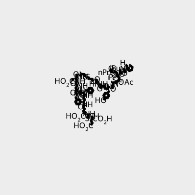 CCCC(=O)OCN(C(=O)[C@@H](NC(=O)[C@H]1CCCCN1C)C(C)CC)[C@H](C[C@H](OC(C)=O)c1nc(C(=O)N[C@@H](Cc2ccc(O)cc2)C[C@H](C)C(=O)NNC(=O)OCCSSC[C@H](C)NC(=O)[C@H](CC(=O)O)NC(=O)[C@@H](N)CNC(=O)[C@H](Cc2ccccc2)NC(=O)[C@H](Cc2ccccc2)NC(=O)CCNC(=O)CC[C@H](NC(=S)N[C@@H](CCC(=O)O)C(=O)O)C(=O)O)cs1)C(C)C